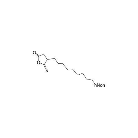 CCCCCCCCCCCCCCCCCCC1CC(=O)OC1=S